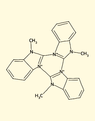 Cn1c2ccccc2[n+]2c1[n+]1c3ccccc3n(C)c1[n+]1c3ccccc3n(C)c21